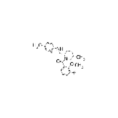 COc1c(F)cccc1C(=O)N1C[C@@H](C)CC[C@H]1CNc1ccc(C)cn1